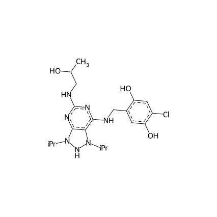 CC(O)CNc1nc(NCc2cc(O)c(Cl)cc2O)c2c(n1)N(C(C)C)NN2C(C)C